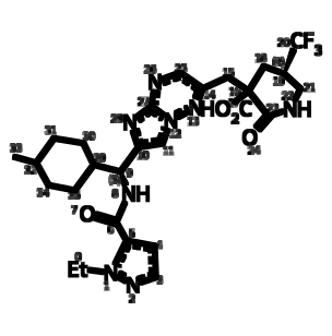 CCn1nccc1C(=O)N[C@H](c1cn2nc(CC3(C(=O)O)C[C@@H](C(F)(F)F)CNC3=O)cnc2n1)C1CCC(C)CC1